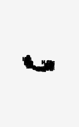 CC(=O)c1c(C)c2cnc(Nc3ccc(N4CCN(CCOCCOc5cccc6c5C(=O)N(C5CCC(=O)NC5=O)C6=O)CC4)cn3)nc2n(C2CCCC2)c1=O